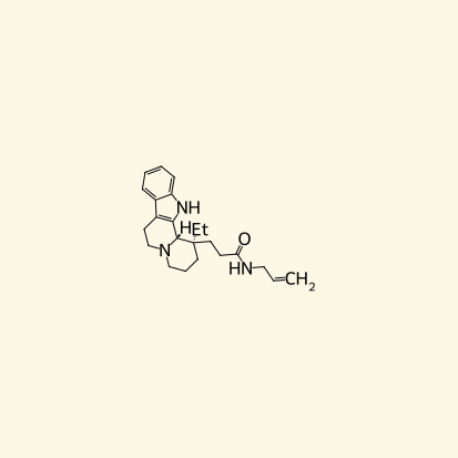 C=CCNC(=O)CC[C@@]1(CC)CCCN2CCc3c([nH]c4ccccc34)[C@@H]21